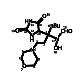 CCCCC(CCN1CCOCC1)(C1NC(=O)NC1=O)N(O)C=O